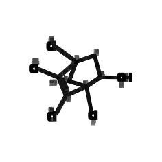 OC1CC2(Cl)CC1(Cl)C(Cl)=C2Cl